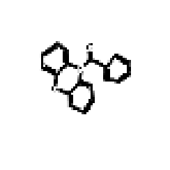 O=C(c1ccccc1)N1c2ccccc2Oc2ccccc21